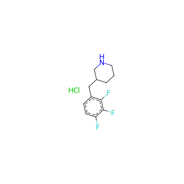 Cl.Fc1ccc(CC2CCCNC2)c(F)c1F